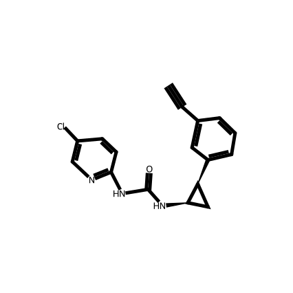 C#Cc1cccc([C@H]2C[C@H]2NC(=O)Nc2ccc(Cl)cn2)c1